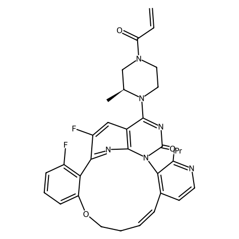 C=CC(=O)N1CCN(c2nc(=O)n3c4nc(c(F)cc24)-c2c(F)cccc2OCC/C=C\c2ccnc(C(C)C)c2-3)[C@@H](C)C1